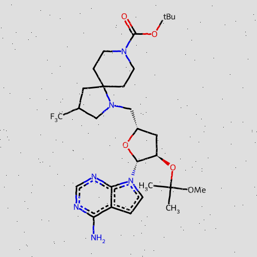 COC(C)(C)O[C@@H]1C[C@@H](CN2CC(C(F)(F)F)CC23CCN(C(=O)OC(C)(C)C)CC3)O[C@H]1n1ccc2c(N)ncnc21